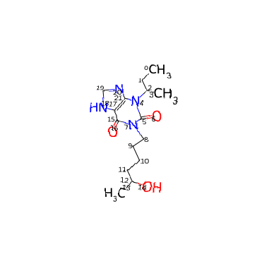 CCC(C)n1c(=O)n(CCCCC(C)O)c(=O)c2[nH]cnc21